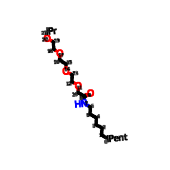 CCCC(C)CCCCCCNC(=O)COCCOCCOCCOC(C)C